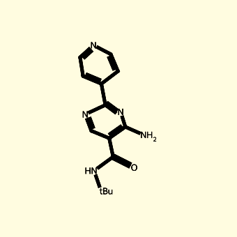 CC(C)(C)NC(=O)c1cnc(-c2ccncc2)nc1N